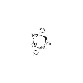 C1=Cc2nc1cc1ccc([nH]1)c(-c1ccccc1)c1nc(cc3ccc([nH]3)c2-c2ccccc2)C=C1.[Cu]